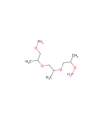 CC(COC(C)COC(C)COP)OP